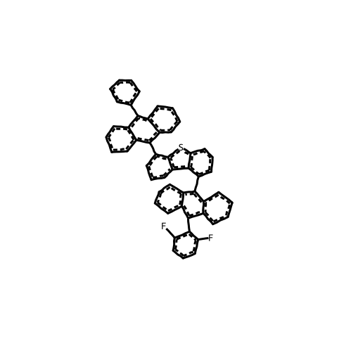 Fc1cccc(F)c1-c1c2ccccc2c(-c2cccc3sc4c(-c5c6ccccc6c(-c6ccccc6)c6ccccc56)cccc4c23)c2ccccc12